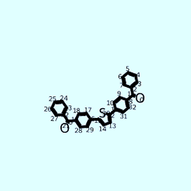 O=C(c1ccccc1)c1ccc(-c2ccc(-c3ccc(C(=O)c4ccccc4)cc3)s2)cc1